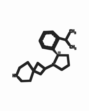 CC(C)c1ccccc1[C@@H]1CCCN1C1CC2(CCNCC2)C1